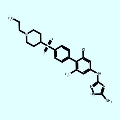 Nc1nc(Nc2cc(Cl)c(-c3ccc(S(=O)(=O)C4CCN(CCC(F)(F)F)CC4)cc3)c(C(F)(F)F)c2)n[nH]1